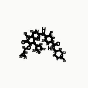 Cc1cc(C(=O)NC2CCN(C)CC2)ccc1Nc1ncc2c(n1)c(-c1ccsc1)c(OCC1CC1)c(=O)n2C